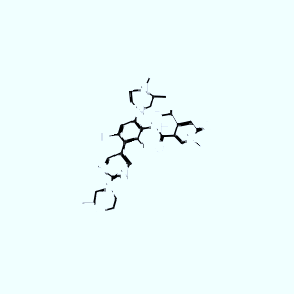 CC1CN(c2cc(F)c(-c3cnc(N4C[C@H](C)O[C@@H](C)C4)nc3)c(F)c2NC(=O)c2cn(C)c(=O)cc2C(F)F)CCN1C